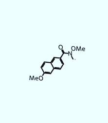 [CH2]ON([CH2])C(=O)c1ccc2cc(OC)ccc2c1